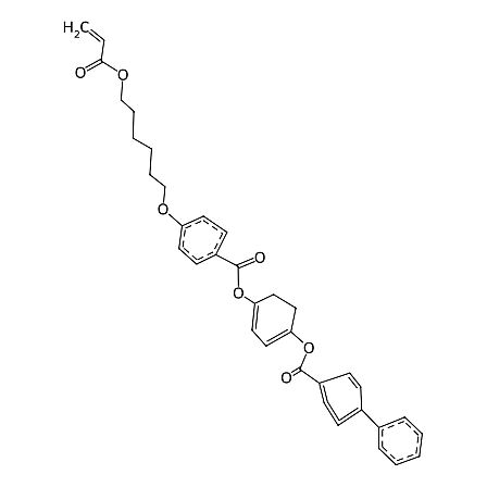 C=CC(=O)OCCCCCCOc1ccc(C(=O)OC2=CC=C(OC(=O)C3=C=C=C(c4ccccc4)C=C3)CC2)cc1